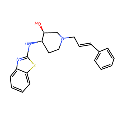 O[C@H]1CN(C/C=C/c2ccccc2)CC[C@H]1Nc1nc2ccccc2s1